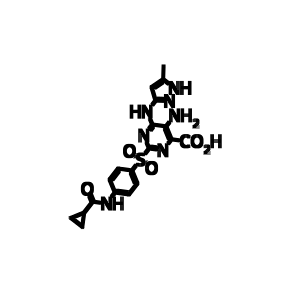 Cc1cc(Nc2nc(S(=O)(=O)c3ccc(NC(=O)C4CC4)cc3)nc(C(=O)O)c2N)n[nH]1